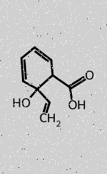 C=CC1(O)C=CC=CC1C(=O)O